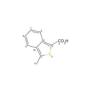 Cc1sc(C(=O)O)c2ccccc12